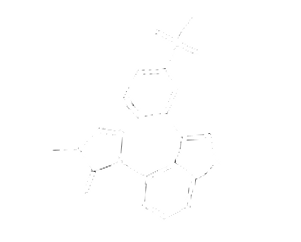 Cn1cnn(-c2ncnc3scc(-c4cccc(S(C)(=O)=O)c4)c23)c1=S